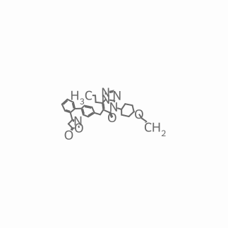 C=CCOC1CCC(n2c(=O)c(Cc3ccc(-c4ccccc4C4=NOC(=O)C4)cc3)c(CCC)n3ncnc23)CC1